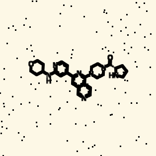 O=C([C@@H]1CCCN1)N1CCN(c2nc(-c3ccnc(NC4CCOCC4)c3)cc3cnccc23)CC1